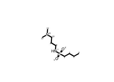 CCCCS(=O)(=O)NCCCN(C)C